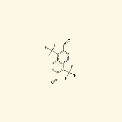 O=Cc1ccc2c(C(F)(F)F)c(C=O)ccc2c1C(F)(F)F